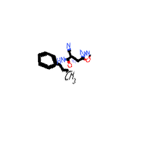 CCCC(NC(=O)/C(C#N)=C/c1nnco1)c1ccccc1